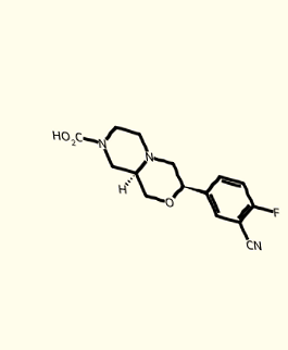 N#Cc1cc([C@@H]2CN3CCN(C(=O)O)C[C@@H]3CO2)ccc1F